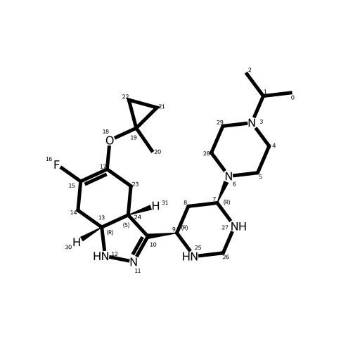 CC(C)N1CCN([C@@H]2C[C@H](C3=NN[C@@H]4CC(F)=C(OC5(C)CC5)C[C@H]34)NCN2)CC1